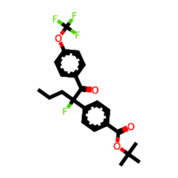 CCCC(F)(C(=O)c1ccc(OC(F)(F)F)cc1)c1ccc(C(=O)OC(C)(C)C)cc1